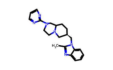 Cc1nc2ccccc2n1C[C@@H]1CCC2CN(c3ncccn3)CCN2C1